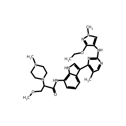 CCOc1nn(C)cc1Nc1ncc(C)c(-c2c[nH]c3c(NC(=O)C(COC)N4CCN(C)CC4)cccc23)n1